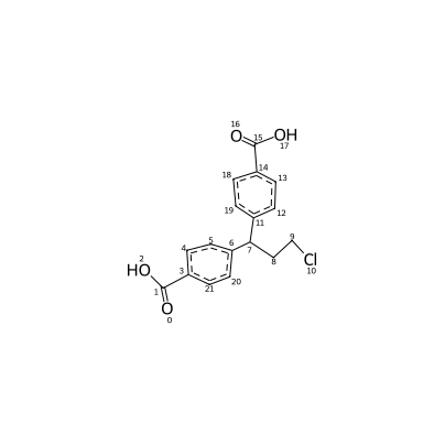 O=C(O)c1ccc(C(CCCl)c2ccc(C(=O)O)cc2)cc1